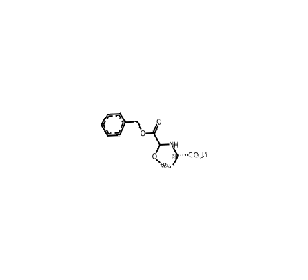 C[C@H](NC(OC(C)(C)C)C(=O)OCc1ccccc1)C(=O)O